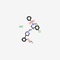 COc1ccccc1C1CCN(CC[C@H](CN(C)S(=O)(=O)c2ccccc2)c2cccc(Cl)c2)CC1.Cl